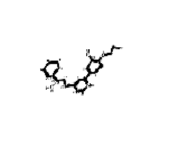 CCCOc1ccc(-c2cc(NC[C@H](O)c3ccccc3)ncn2)cc1F